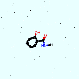 [2H]NC(=O)c1ccccc1O